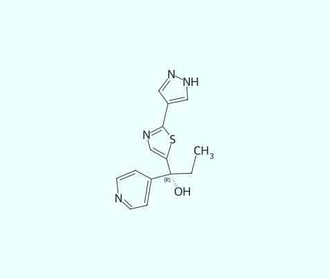 CC[C@@](O)(c1ccncc1)c1cnc(-c2cn[nH]c2)s1